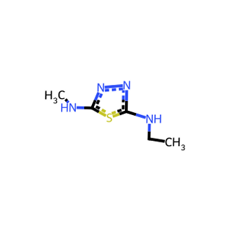 CCNc1nnc(NC)s1